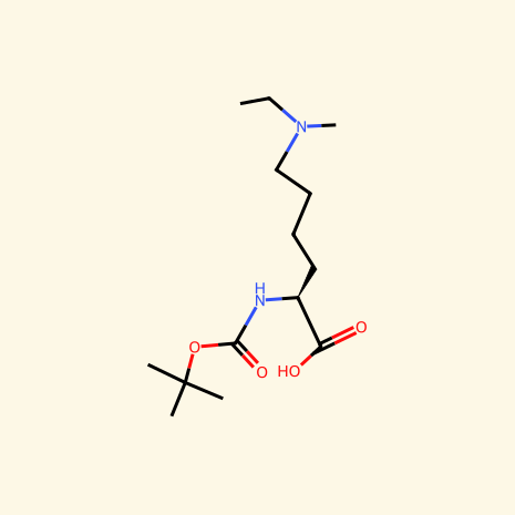 CCN(C)CCCC[C@H](NC(=O)OC(C)(C)C)C(=O)O